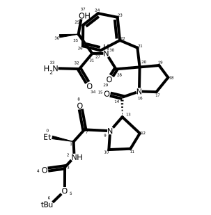 CC[C@H](NC(=O)OC(C)(C)C)C(=O)N1CCC[C@H]1C(=O)N1CCCC1(Cc1ccccc1)C(=O)NC(C(N)=O)[C@@H](C)O